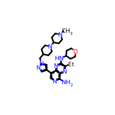 CCc1nc2c(N)ncc(-c3cnn(CC4CCN(C5CCN(C)CC5)CC4)c3)c2nc1NC1CCOCC1